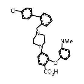 CNc1cccc(Oc2cc(N3CCN(Cc4ccccc4-c4ccc(Cl)cc4)CC3)ccc2C(=O)O)c1